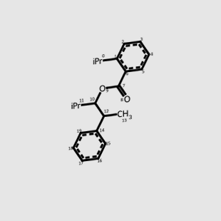 CC(C)c1ccccc1C(=O)OC(C(C)C)C(C)c1ccccc1